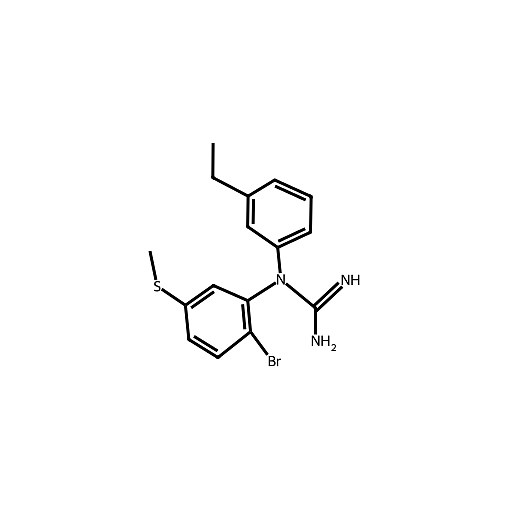 CCc1cccc(N(C(=N)N)c2cc(SC)ccc2Br)c1